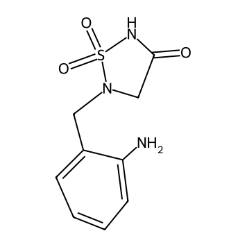 Nc1ccccc1CN1CC(=O)NS1(=O)=O